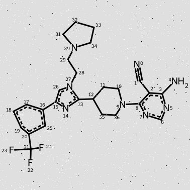 N#Cc1c(N)ncnc1N1CCC(c2nc(-c3cccc(C(F)(F)F)c3)cn2CCN2CCCC2)CC1